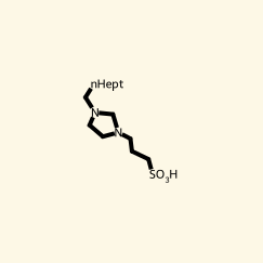 CCCCCCCCN1CCN(CCCS(=O)(=O)O)C1